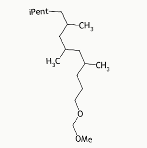 CCCC(C)CC(C)CC(C)CC(C)CCCOCOC